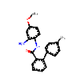 CCCCOc1ccc(NC(=O)c2ccccc2-c2ccc(C(F)(F)F)cc2)c(N)c1